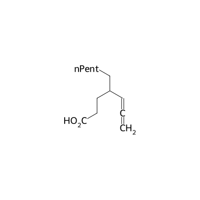 C=C=CC(CCCCCC)CCC(=O)O